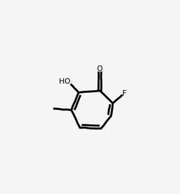 Cc1cccc(F)c(=O)c1O